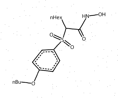 CCCCCCC(C(=O)NO)S(=O)(=O)c1ccc(OCCCC)cc1